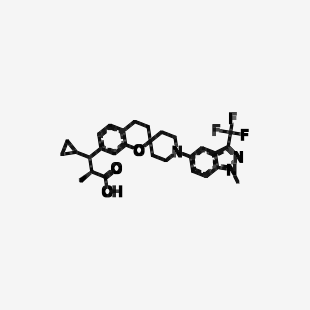 C[C@H](C(=O)O)C(c1ccc2c(c1)OC1(CC2)CCN(c2ccc3c(c2)c(C(F)(F)F)nn3C)CC1)C1CC1